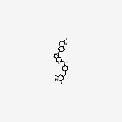 CC1CN(Cc2ccc(Nc3ncc4ccn(-c5ccc6c(c5)CCC(=O)N6)c4n3)cc2)CC(C)N1